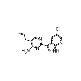 C=CCc1cnc(-c2c[nH]c3ncc(Cl)cc23)nc1N